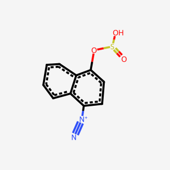 N#[N+]c1ccc(OS(=O)O)c2ccccc12